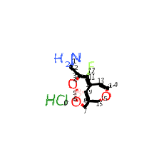 Cl.NCC1OB2OCC3=C2C(=C1F)C=COC3